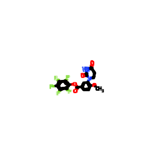 COc1ccc(C(=O)Oc2c(F)c(F)c(F)c(F)c2F)cc1N1CCC(=O)NC1=O